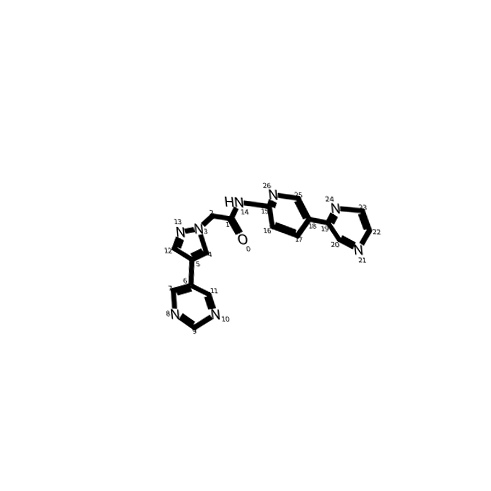 O=C(Cn1cc(-c2cncnc2)cn1)Nc1ccc(-c2cnccn2)cn1